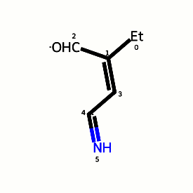 CC/C([C]=O)=C/[C]=N